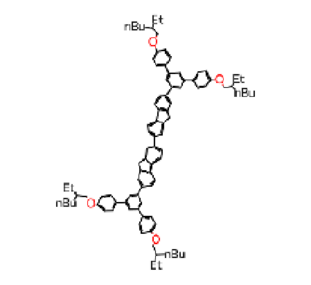 CCCCC(CC)COc1ccc(-c2cc(-c3ccc(OCC(CC)CCCC)cc3)cc(-c3ccc4c(c3)Cc3cc(-c5ccc6c(c5)Cc5cc(-c7cc(-c8ccc(OCC(CC)CCCC)cc8)cc(-c8ccc(OCC(CC)CCCC)cc8)c7)ccc5-6)ccc3-4)c2)cc1